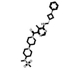 Cc1c(NC[C@H]2C[C@H](c3ccccc3)C2)ncnc1C(=O)N1CCC(N2CCC(N(C)S(C)(=O)=O)CC2)CC1